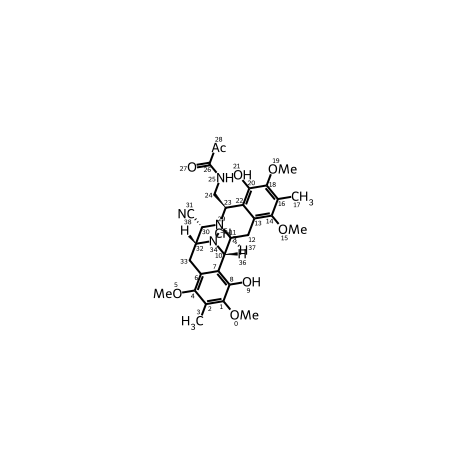 COc1c(C)c(OC)c2c(c1O)[C@H]1[C@@H]3Cc4c(OC)c(C)c(OC)c(O)c4[C@H](CNC(=O)C(C)=O)N3[C@@H](C#N)[C@@H](C2)N1C